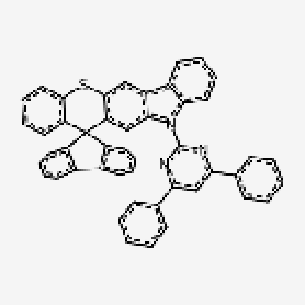 c1ccc(-c2cc(-c3ccccc3)nc(-n3c4ccccc4c4cc5c(cc43)C3(c4ccccc4S5)c4ccccc4-c4ccccc43)n2)cc1